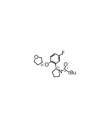 CC(C)(C)[S+]([O-])N1CCC[C@H]1c1cc(F)ccc1O[C@@H]1CCOC1